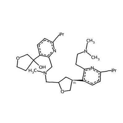 CC(C)c1ccc([C@H]2COC(CN(C)Cc3nc(C(C)C)ccc3C3(O)CCOC3)C2)c(CCN(C)C)n1